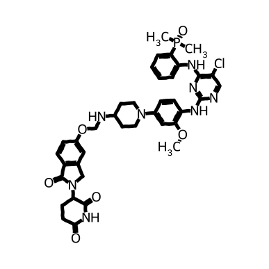 COc1cc(N2CCC(NCOc3ccc4c(c3)CN(C3CCC(=O)NC3=O)C4=O)CC2)ccc1Nc1ncc(Cl)c(Nc2ccccc2P(C)(C)=O)n1